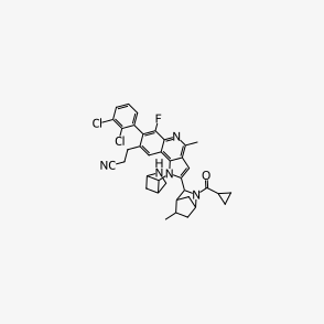 Cc1nc2c(F)c(-c3cccc(Cl)c3Cl)c(CCC#N)cc2c2c1cc(C1C3CC(CC3C)N1C(=O)C1CC1)n2C1C2CNC1C2